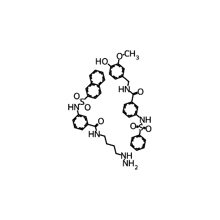 COc1cc(CNC(=O)c2cccc(NS(=O)(=O)c3ccccc3)c2)ccc1O.NNCCCCNC(=O)c1cccc(NS(=O)(=O)c2ccc3ccccc3c2)c1